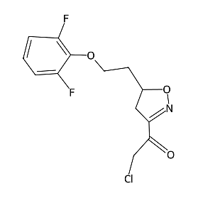 O=C(CCl)C1=NOC(CCOc2c(F)cccc2F)C1